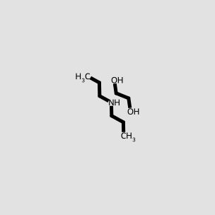 CCCNCCC.OCCO